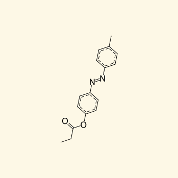 CCC(=O)Oc1ccc(N=Nc2ccc(C)cc2)cc1